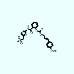 CC(=O)Oc1ccc(/C=C/COC(=O)Oc2ccccc2C(=O)Nc2nc(CS(C)(=O)=O)cs2)cc1